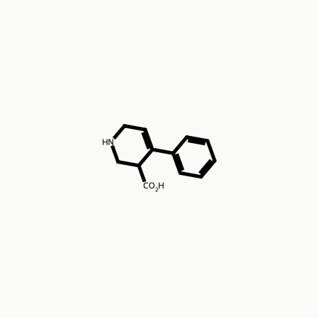 O=C(O)C1CNCC=C1c1ccccc1